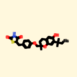 CC(C)(C)CC(C)(C)c1cc2c(cc1O)CCC(C)(COc1ccc(CC3SC(=O)NC3=O)cc1)O2